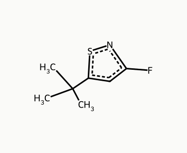 CC(C)(C)c1cc(F)ns1